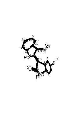 O=C1Nc2ccc(F)cc2/C1=C1/Nc2ccccc2/C1=N\O